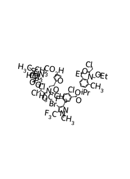 CC(C)OC(=O)c1cc(-c2nn(C)c(C(F)(F)F)c2Br)c(F)cc1Cl.CC1(C)OC(c2ccco2)CN1C(=O)C(Cl)Cl.CCOCN(C(=O)CCl)c1c(C)cccc1CC.C[S+](C)C.O=C(O)CNCP(=O)([O-])O